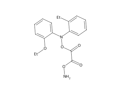 CCOc1ccccc1N(OC(=O)C(=O)ON)c1ccccc1CC